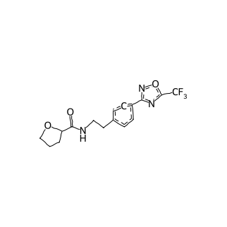 O=C(NCCc1ccc(-c2noc(C(F)(F)F)n2)cc1)C1CCCO1